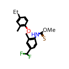 CCc1ccc(OCc2cc(C(F)F)ccc2NC(=S)OC)c(C)c1